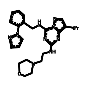 CC(C)c1cnn2c(NCc3ccccc3-n3cccn3)nc(NCCN3CCOCC3)nc12